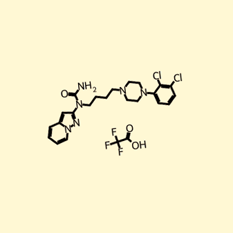 NC(=O)N(CCCCN1CCN(c2cccc(Cl)c2Cl)CC1)c1cc2ccccn2n1.O=C(O)C(F)(F)F